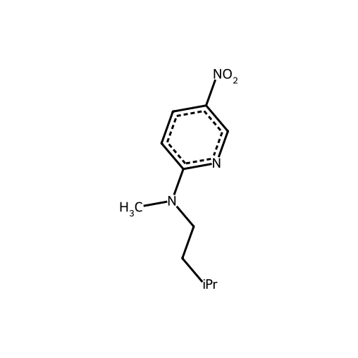 CC(C)CCN(C)c1ccc([N+](=O)[O-])cn1